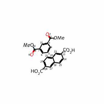 COC(=O)c1cccc(C(=O)OC)c1.O=C(O)c1ccc2cc(C(=O)O)ccc2c1